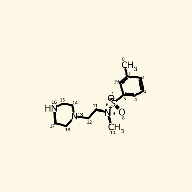 Cc1cccc(S(=O)(=O)N(C)CCN2CCNCC2)c1